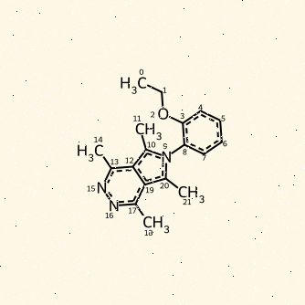 CCOc1ccccc1-n1c(C)c2c(C)nnc(C)c2c1C